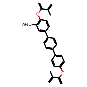 C=C(C)C(=C)Oc1ccc(-c2ccc(-c3ccc(OC(=C)C(=C)C)c(OC)c3)cc2)cc1